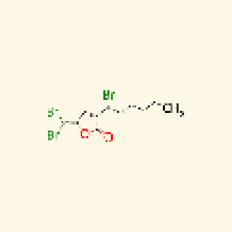 CCCCCC(Br)C1=CC(=C(Br)Br)OC1=O